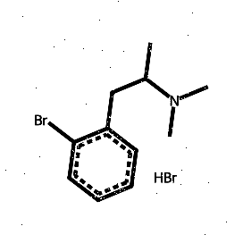 Br.CC(Cc1ccccc1Br)N(C)C